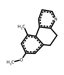 COc1cc(C)c2c(c1)CCc1ncccc1-2